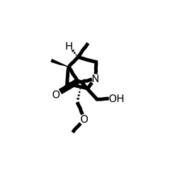 COC[C@]1(CO)C(=O)[C@]2(C)CCN1C[C@@H]2C